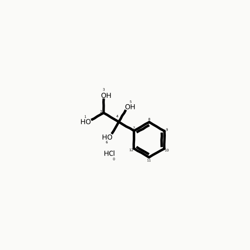 Cl.OC(O)C(O)(O)c1ccccc1